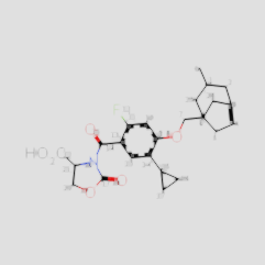 CC1CC2=CCC(COc3cc(F)c(C(=O)N4C(=O)OCC4C(=O)O)cc3C3CC3)(C2)C1